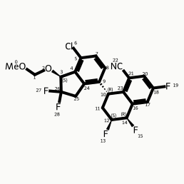 COCO[C@H]1c2c(Cl)ccc([C@H]3C[C@H](F)[C@H](F)c4cc(F)cc(C#N)c43)c2CC1(F)F